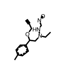 C#CCOC(CN(CC)NCN=O)c1ccc(C)cc1